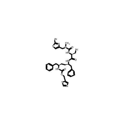 CC(=O)C[C@H](NC(=O)N(C)Cc1csc(C(C)C)n1)C(=O)N[C@H](CC[C@H](Cc1ccccc1)NC(=O)OCc1cncs1)Cc1ccccc1